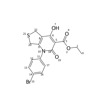 CCOC(=O)c1c(O)c2c(n(-c3ccc(Br)cc3)c1=O)CSC2